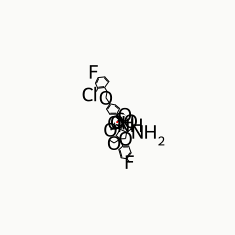 COC1(c2ccc(F)cc2)CC(NS(=O)(=O)c2ccc(OCc3ccc(F)cc3Cl)cc2)(C(=O)O)C(C(N)=O)O1